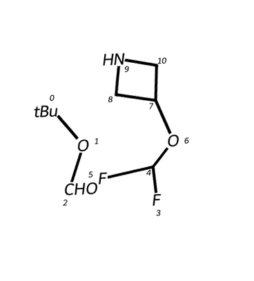 CC(C)(C)OC=O.FC(F)OC1CNC1